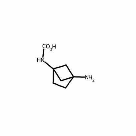 NC12CCC(NC(=O)O)(C1)C2